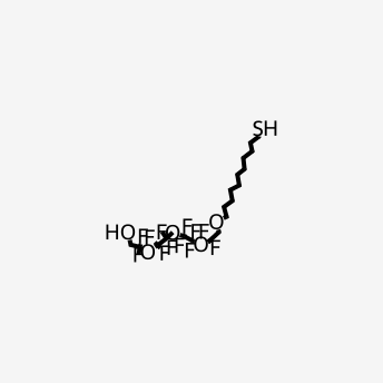 OCC(F)(F)OC(F)(F)C(F)(F)OC(F)(F)C(F)(F)OC(F)(F)COCCCCCCCCCCCS